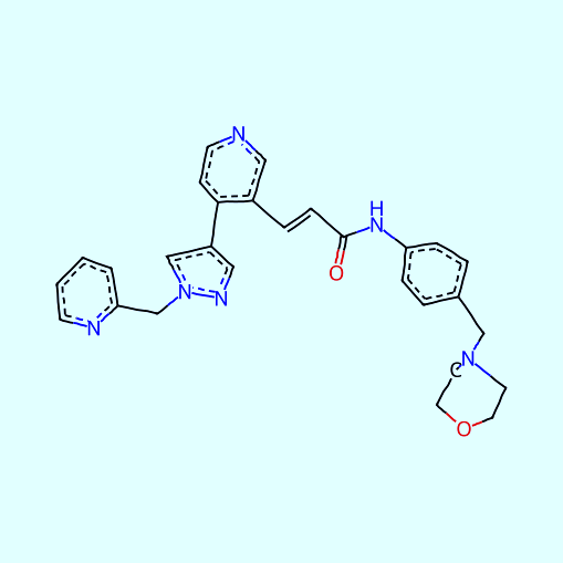 O=C(C=Cc1cnccc1-c1cnn(Cc2ccccn2)c1)Nc1ccc(CN2CCOCC2)cc1